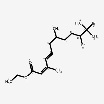 CCOC(=O)C=C(C)C=CCC(C)CCC(Br)C(C)(C)Br